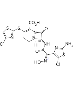 Nc1nc(/C(=N/O)C(=O)N[C@@H]2C(=O)N3C(C(=O)O)=C(Sc4nc(Cl)cs4)CC[C@H]23)c(Cl)s1